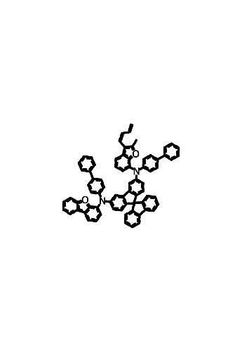 C=C/C=C\c1c(C)oc2c(N(c3ccc(-c4ccccc4)cc3)c3ccc4c(c3)-c3cc(N(c5ccc(-c6ccccc6)cc5)c5cccc6c5oc5ccccc56)ccc3C43c4ccccc4-c4ccccc43)cccc12